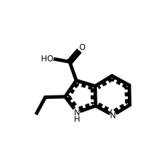 CCc1[nH]c2ncccc2c1C(=O)O